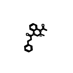 CC(=O)N1c2ccccc2N(C(=O)CCc2ccccc2)C[C@@H]1C